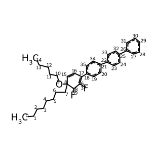 CCCCCCCCC1(OCCCCC)C=CC(c2ccc(-c3ccc(-c4ccccc4)cc3)cc2)=C(F)C1F